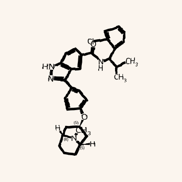 CC(C)C(NC(=O)c1ccc2[nH]nc(-c3ccc(O[C@@H]4C[C@H]5CCC[C@@H](C4)N5C)cc3)c2c1)c1ccccc1Cl